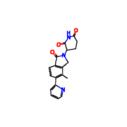 Cc1c(-c2ccccn2)ccc2c1CN(C1CCC(=O)NC1=O)C2=O